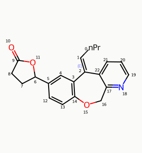 CCC/C=C1/c2cc(C3CCC(=O)O3)ccc2OCc2ncccc21